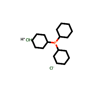 C1CCC(P(C2CCCCC2)C2CCCCC2)CC1.Cl.[Cl-].[H+]